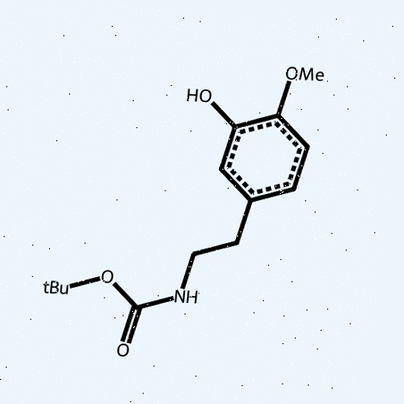 COc1ccc(CCNC(=O)OC(C)(C)C)cc1O